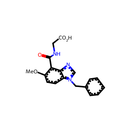 COc1ccc2c(ncn2Cc2ccccc2)c1C(=O)NCC(=O)O